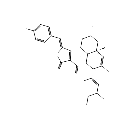 CCC(C)/C=C(\C)[C@H]1C(C)=C[C@@]2(C)C[C@@H](C)CC[C@@H]2[C@H]1C(=O)C1=C/C(=C/c2ccc(O)cc2)NC1=O